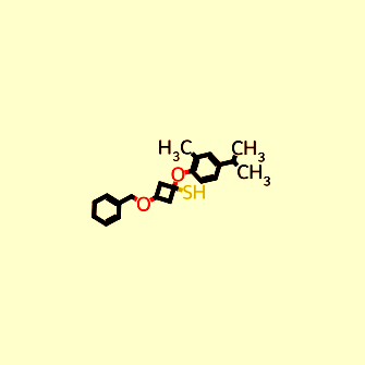 Cc1cc(C(C)C)ccc1OC1(S)CC(OCC2=CCCC=C2)C1